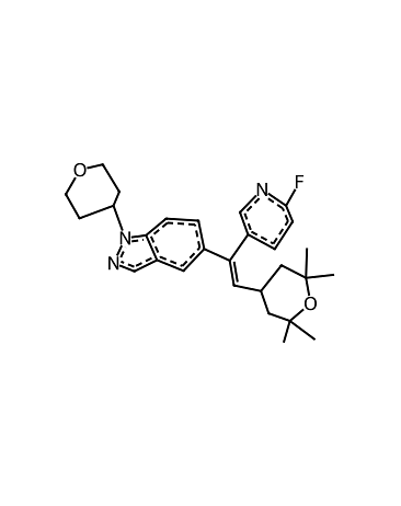 CC1(C)CC(C=C(c2ccc(F)nc2)c2ccc3c(cnn3C3CCOCC3)c2)CC(C)(C)O1